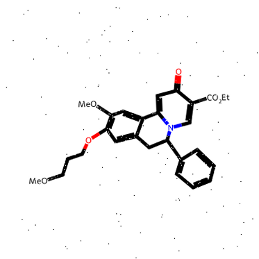 CCOC(=O)c1cn2c(cc1=O)-c1cc(OC)c(OCCCOC)cc1CC2c1ccccc1